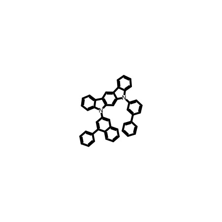 c1ccc(-c2cccc(-n3c4ccccc4c4cc5c6ccccc6n(-c6cc(-c7ccccc7)c7ccccc7c6)c5cc43)c2)cc1